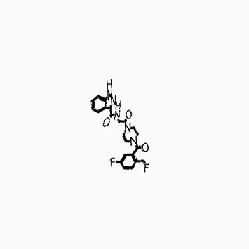 O=C(NCC(=O)N1CCN(C(=O)c2cc(F)ccc2CF)CC1)c1n[nH]c2ccccc12